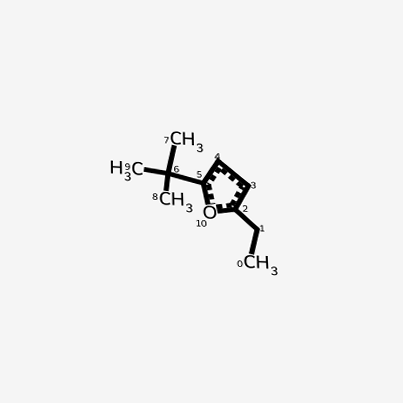 CCc1ccc(C(C)(C)C)o1